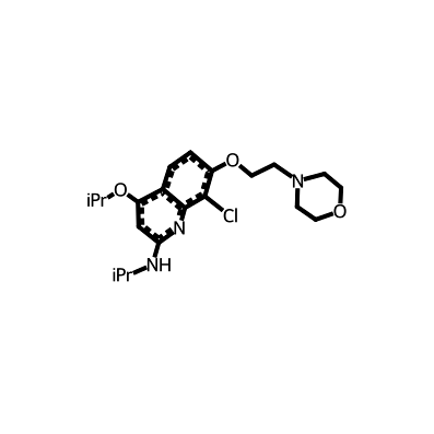 CC(C)Nc1cc(OC(C)C)c2ccc(OCCN3CCOCC3)c(Cl)c2n1